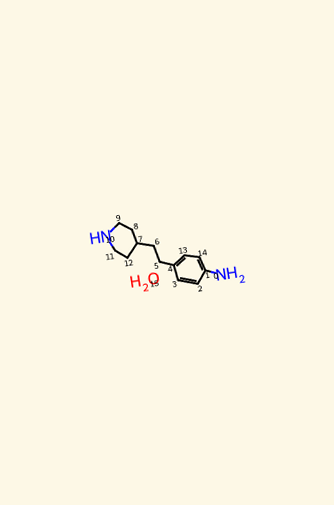 Nc1ccc(CCC2CCNCC2)cc1.O